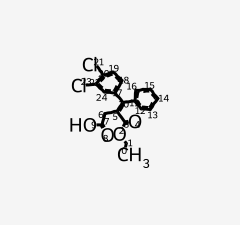 CCOC(=O)C(CC(=O)O)=C(c1ccccc1)c1ccc(Cl)c(Cl)c1